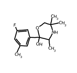 Cc1cc(F)cc(C2(O)OCC(C)(C)NC2C)c1